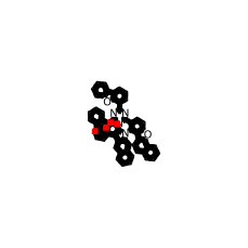 c1ccc2cc3c(cc2c1)c1c2ccccc2ccc1n3-c1c(-c2nc(-c3cccc4ccccc34)nc(-c3cccc4c3oc3ccccc34)n2)ccc2oc3c4ccccc4ccc3c12